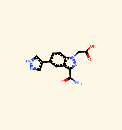 NC(=O)c1nn(CC(=O)O)c2ccc(-c3cn[nH]c3)cc12